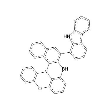 B1c2cccc3c2N(c2ccccc2O3)c2c1c(-c1cccc3c1[nH]c1ccccc13)cc1ccccc21